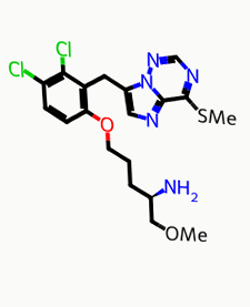 COC[C@H](N)CCCOc1ccc(Cl)c(Cl)c1Cc1cnc2c(SC)ncnn12